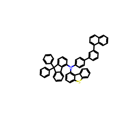 c1ccc(C2(c3ccccc3)c3ccccc3-c3c(N(c4ccc(-c5cccc(-c6cccc7ccccc67)c5)cc4)c4cccc5sc6ccccc6c45)cccc32)cc1